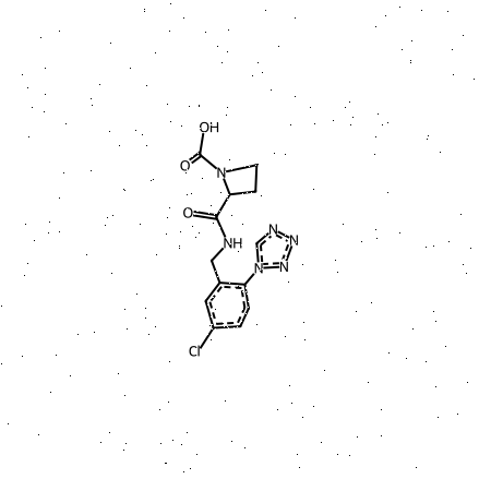 O=C(NCc1cc(Cl)ccc1-n1cnnn1)C1CCN1C(=O)O